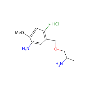 COc1cc(F)c(COCC(C)N)cc1N.Cl